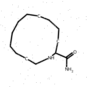 NC(=O)C1CCCCCCCCCCCN1